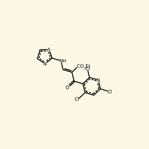 CCOC(=O)/C(=C\Nc1nccs1)C(=O)c1c(Cl)cc(Cl)nc1Cl